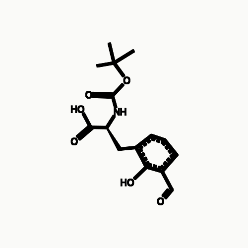 CC(C)(C)OC(=O)N[C@@H](Cc1cccc(C=O)c1O)C(=O)O